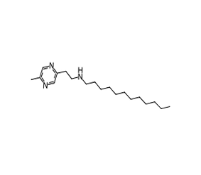 CCCCCCCCCCCCNCCc1cnc(C)cn1